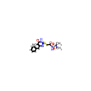 CN(C)S(=O)(=O)NC(=O)CSc1nc(Cc2ccccc2)c(C#N)c(=O)[nH]1